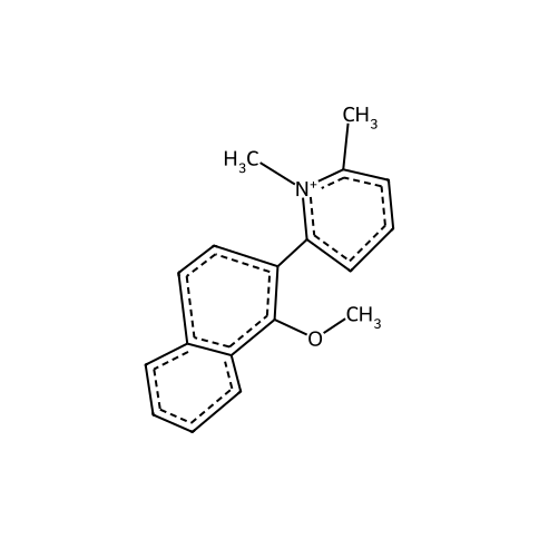 COc1c(-c2cccc(C)[n+]2C)ccc2ccccc12